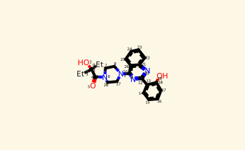 CCC(O)(CC)C(=O)N1CCN(c2nc(-c3ccccc3O)nc3ccccc23)CC1